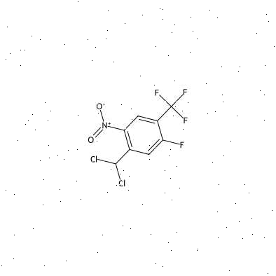 O=[N+]([O-])c1cc(C(F)(F)F)c(F)cc1C(Cl)Cl